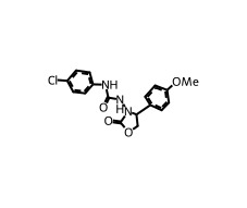 COc1ccc(C2COC(=O)N2NC(=O)Nc2ccc(Cl)cc2)cc1